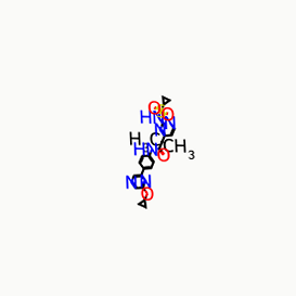 CC(C)(C(=O)Nc1ccc(-c2cncc(OC3CC3)n2)cc1)c1ccnc(NS(=O)(=O)C2CC2)n1